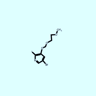 COCCOCOc1cc(Br)cnc1I